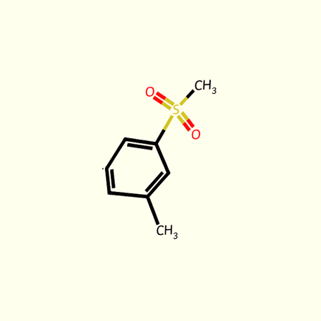 Cc1c[c]cc(S(C)(=O)=O)c1